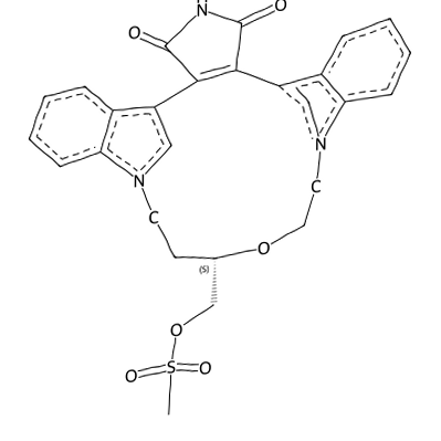 CS(=O)(=O)OC[C@@H]1CCn2cc(c3ccccc32)C2=C(C(=O)NC2=O)c2cn(c3ccccc23)CCO1